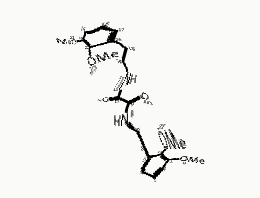 COc1cccc(CCNC(=O)C(=O)NCCc2cccc(OC)c2OC)c1OC